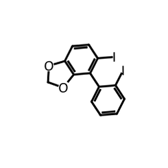 Ic1ccccc1-c1c(I)ccc2c1OCO2